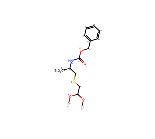 CCOC(=O)[C@H](CSCC(OCC)OCC)NC(=O)OCc1ccccc1